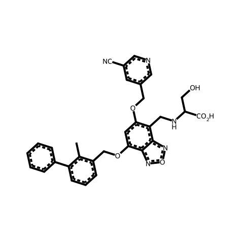 Cc1c(COc2cc(OCc3cncc(C#N)c3)c(CNC(CO)C(=O)O)c3nonc23)cccc1-c1ccccc1